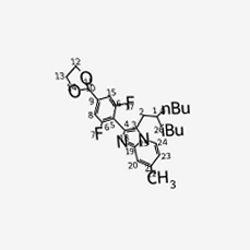 CCCCC(Cc1c(-c2c(F)cc(C3OCCO3)cc2F)nc2cc(C)ccn12)C(C)CC